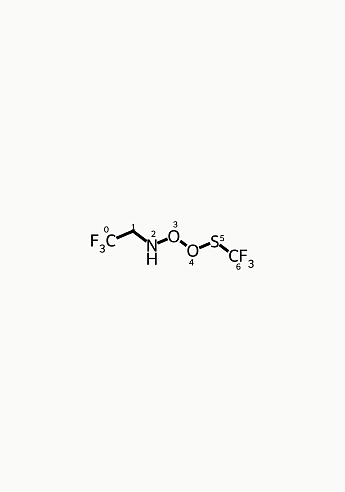 FC(F)(F)CNOOSC(F)(F)F